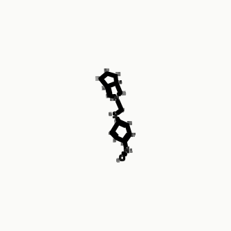 O=Nc1ccc(SCN2C=C3CCCC3C2)cc1